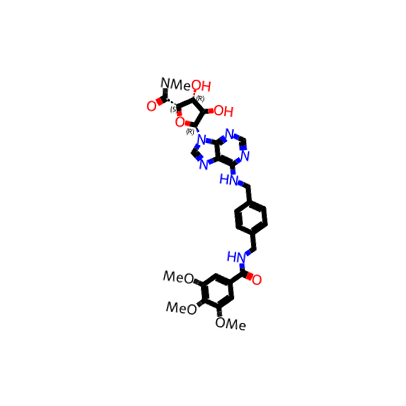 CNC(=O)[C@H]1O[C@@H](n2cnc3c(NCc4ccc(CNC(=O)c5cc(OC)c(OC)c(OC)c5)cc4)ncnc32)C(O)[C@H]1O